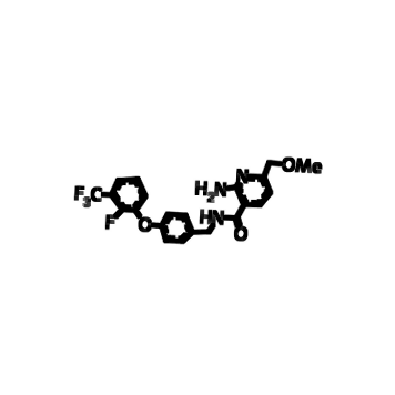 COCc1ccc(C(=O)NCc2ccc(Oc3cccc(C(F)(F)F)c3F)cc2)c(N)n1